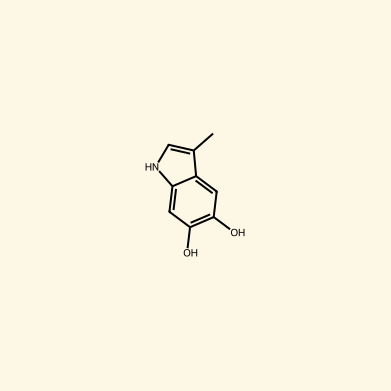 Cc1c[nH]c2cc(O)c(O)cc12